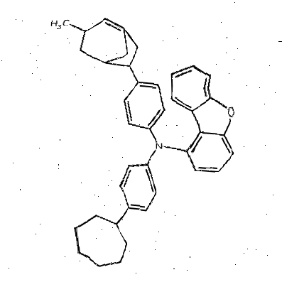 CC1C=C2CC(C1)C(c1ccc(N(c3ccc(C4CCCCCC4)cc3)c3cccc4oc5ccccc5c34)cc1)C2